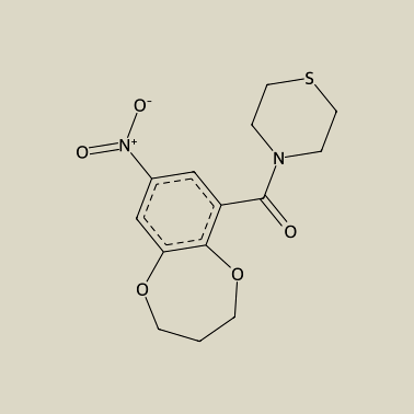 O=C(c1cc([N+](=O)[O-])cc2c1OCCCO2)N1CCSCC1